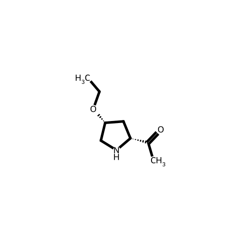 CCO[C@H]1CN[C@@H](C(C)=O)C1